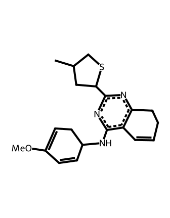 COC1=CCC(Nc2nc(C3CC(C)CS3)nc3c2C=CCC3)C=C1